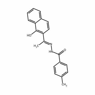 C/C(=N\NC(=O)c1ccc(C)cc1)c1ccc2ccccc2c1O